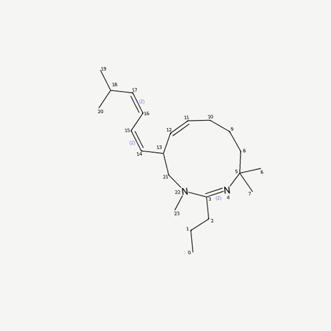 CCC/C1=N/C(C)(C)CCCC=CC(/C=C\C=C/C(C)C)CN1C